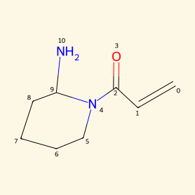 C=CC(=O)N1CCCCC1N